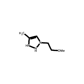 COCCN1C=C(C)NN1